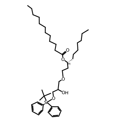 CCCCCCCCCCCC(=O)O[C@H](CCCCCCC)CCOCC(O)CO[Si](c1ccccc1)(c1ccccc1)C(C)(C)C